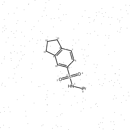 CC(C)NS(=O)(=O)c1ccc2c(c1)CCC2